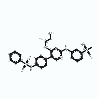 C[C@H](CO)Nc1nc(Nc2cccc(S(C)(=N)=O)c2)ncc1-c1ccc(NS(=O)(=O)c2ccccc2)cc1